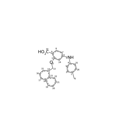 Cc1ccc(Nc2ccc(C(=O)O)c(OCc3cccc4ccccc34)c2)cc1